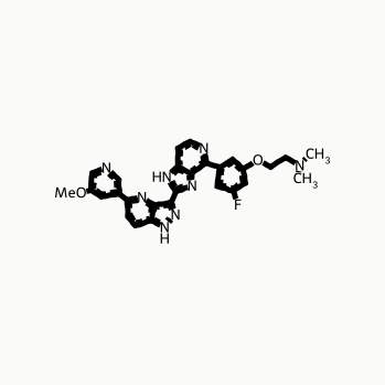 COc1cncc(-c2ccc3[nH]nc(-c4nc5c(-c6cc(F)cc(OCCN(C)C)c6)nccc5[nH]4)c3n2)c1